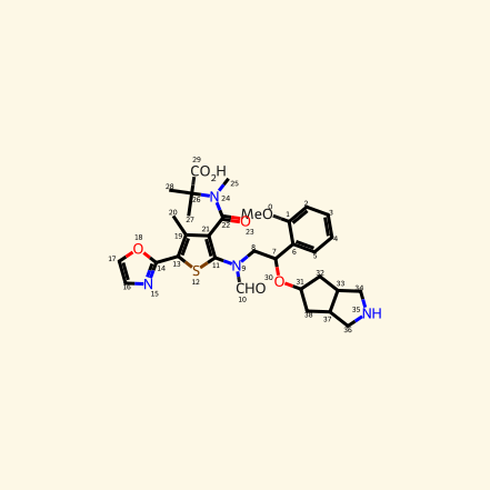 COc1ccccc1C(CN(C=O)c1sc(-c2ncco2)c(C)c1C(=O)N(C)C(C)(C)C(=O)O)OC1CC2CNCC2C1